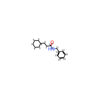 O=C(CCC1CCCCC1)NCc1ccccc1